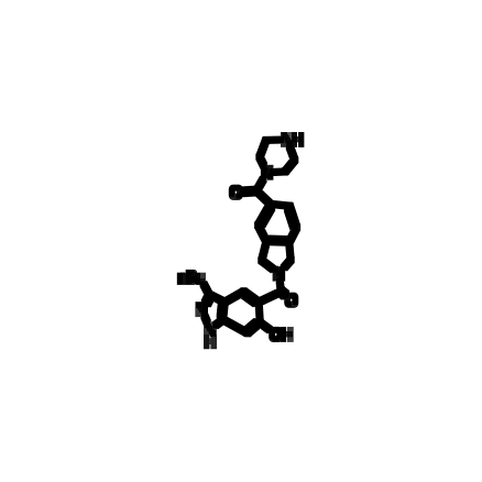 CCCCc1n[nH]c2cc(O)c(C(=O)N3Cc4ccc(C(=O)N5CCNCC5)cc4C3)cc12